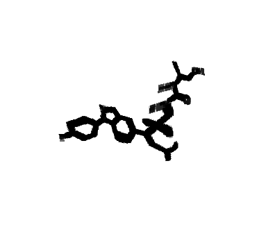 CC(C)CC(c1ccc2c(cnn2-c2ccc(F)cc2)c1)C(C)(C)CNC(=O)N[C@@H](C)CO